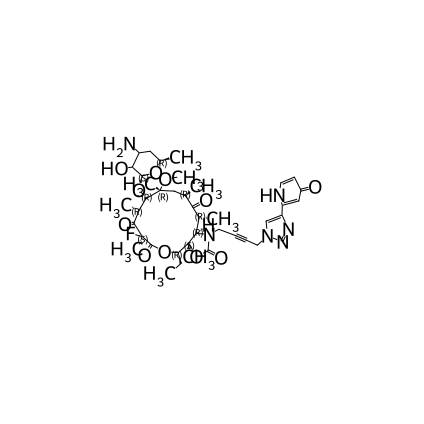 CC[C@H]1OC(=O)[C@@](C)(F)C(=O)[C@H](C)[C@@H](O[C@@H]2O[C@H](C)CC(N)C2O)[C@](C)(OC)C[C@@H](C)C(=O)[C@H](C)[C@H]2N(CC#CCn3cc(-c4cc(=O)cc[nH]4)nn3)C(=O)O[C@]12C